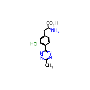 Cc1nnc(-c2ccc(CC(N)C(=O)O)cc2)nn1.Cl